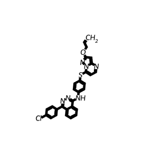 C=CCOc1cc2nccc(Sc3ccc(Nc4nnc(-c5ccc(Cl)cc5)c5ccccc45)cc3)n2n1